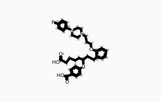 O=C(O)CCCCC(CCc1ccccc1OCCCN1CCN(c2ccc(F)cc2)CC1)Oc1ccc(C(=O)O)cc1